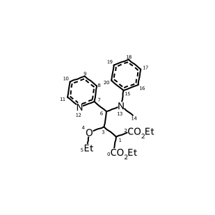 CCOC(=O)C(C(=O)OCC)C(OCC)C(c1ccccn1)N(C)c1ccccc1